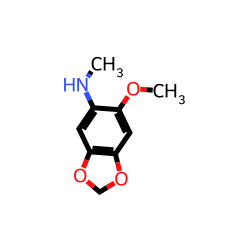 CNc1cc2c(cc1OC)OCO2